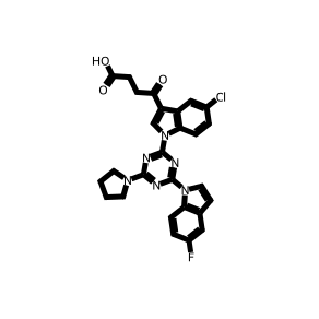 O=C(O)CCC(=O)c1cn(-c2nc(N3CCCC3)nc(-n3ccc4cc(F)ccc43)n2)c2ccc(Cl)cc12